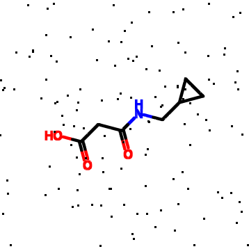 O=C(O)CC(=O)NCC1CC1